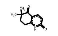 CC1(C)CCc2[nH]c(=O)ccc2C1=O